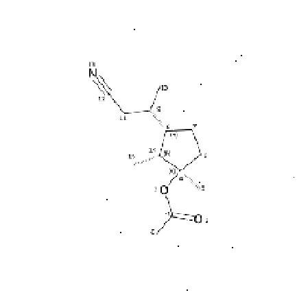 CC(=O)O[C@]1(C)CC[C@@H](C(C)CC#N)[C@H]1C